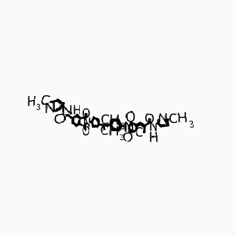 Cc1ccc(NC(=O)c2ccc3c(c2)C(=O)N(c2ccc(C(C)(C)c4ccc(N5C(=O)c6ccc(C(=O)Nc7ccc(C)nc7)cc6C5=O)cc4)cc2)C3=O)cn1